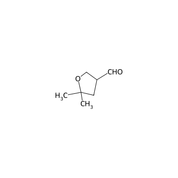 CC1(C)CC(C=O)CO1